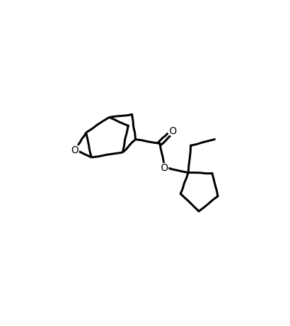 CCC1(OC(=O)C2CC3CC2C2OC32)CCCC1